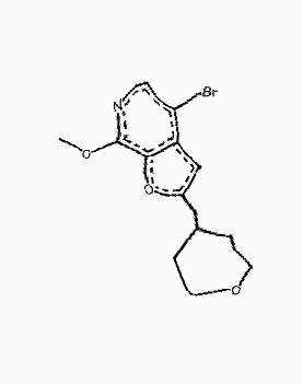 COc1ncc(Br)c2cc(C3CCOCC3)oc12